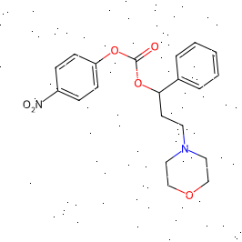 O=C(Oc1ccc([N+](=O)[O-])cc1)OC(CCN1CCOCC1)c1ccccc1